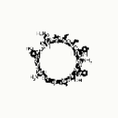 CCCC[C@H]1C(=O)N(C)[C@@H](CCCC)C(=O)N[C@@H](CC(C)C)C(=O)N[C@H](C(=O)NCC(N)=O)CSCC(=O)N[C@@H](Cc2ccc(O)cc2)C(=O)N(C)[C@@H](C)C(=O)N[C@@H](CC(N)=O)C(=O)N2CCC[C@H]2C(=O)NC2(CC2)C(=O)N[C@@H](CC(C)C)C(=O)N2C[C@H](O)C[C@H]2C(=O)NC(Cc2c[nH]c3ccccc23)C(=O)N[C@@H](CCN)C(=O)N[C@@H](Cc2c[nH]c3ccccc23)C(=O)N1C